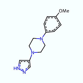 COc1ccc(N2CCN(c3cn[nH]c3)CC2)cc1